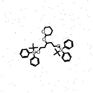 CC(C)(C)[Si](OCCC(CCO[Si](c1ccccc1)(c1ccccc1)C(C)(C)C)OC1CCCCO1)(c1ccccc1)c1ccccc1